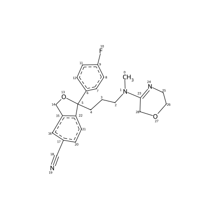 CN(CCCC1(c2ccc(F)cc2)OCc2cc(C#N)ccc21)C1=NCCOC1